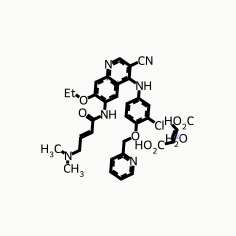 CCOc1cc2ncc(C#N)c(Nc3ccc(OCc4ccccn4)c(Cl)c3)c2cc1NC(=O)C=CCN(C)C.O.O=C(O)/C=C\C(=O)O